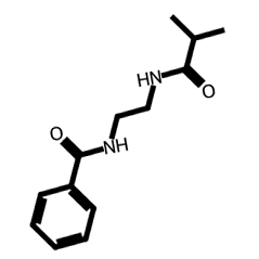 CC(C)C(=O)NCCNC(=O)c1ccccc1